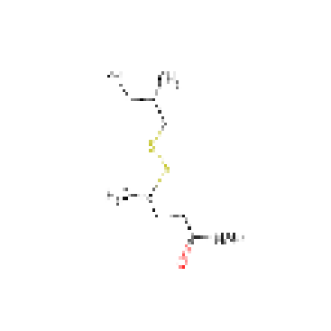 [2H]CC(C)CSSC(C)CCC(=O)NC